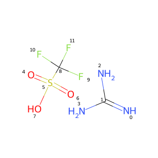 N=C(N)N.O=S(=O)(O)C(F)(F)F